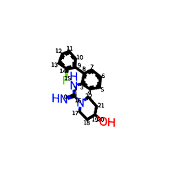 N=C(Nc1ccccc1-c1ccccc1F)N1CCC(O)CC1